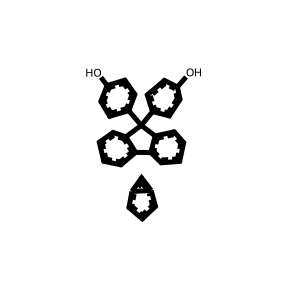 Oc1ccc(C2(c3ccc(O)cc3)c3ccccc3-c3ccccc32)cc1.c1cc2cc-2c1